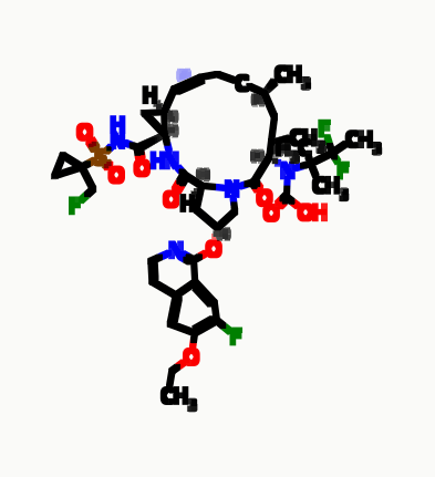 CCOc1cc2ccnc(O[C@@H]3C[C@H]4C(=O)N[C@]5(C(=O)NS(=O)(=O)C6(CF)CC6)C[C@H]5/C=C\CC[C@@H](C)C[C@@H](C)[C@H](N(C(=O)O)C(C)(C)C(C)(F)F)C(=O)N4C3)c2cc1F